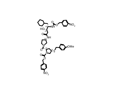 COc1ccc(CS[C@H]2C[C@@H](C(=O)N3CC[C@H](NC(=O)C[C@H](O)[C@H](CC4CCCCC4)NC(=O)OCc4ccc([N+](=O)[O-])cc4)C3)N(C(=O)OCc3ccc([N+](=O)[O-])cc3)C2)cc1